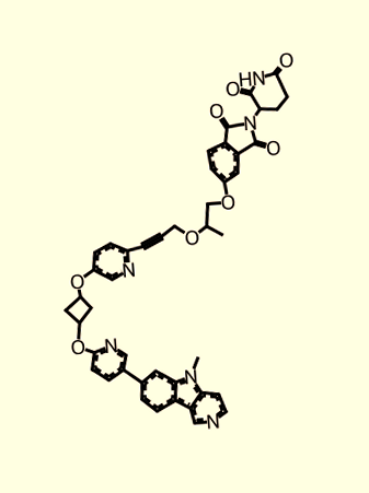 CC(COc1ccc2c(c1)C(=O)N(C1CCC(=O)NC1=O)C2=O)OCC#Cc1ccc(OC2CC(Oc3ccc(-c4ccc5c6cnccc6n(C)c5c4)cn3)C2)cn1